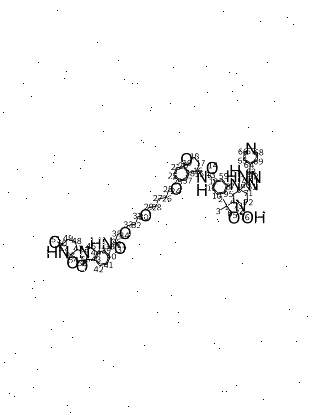 CC(C)(C)C1CC(Nc2cccc(C(=O)N[C@@H]3CCOc4ccc(OCCCCCOCCCOCC(=O)Nc5cccc6c5CN(C5CCC(=O)NC5=O)C6=O)cc43)c2)(c2nnc(-c3ccncc3)[nH]2)CCN1C(=O)O